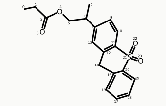 CCC(=O)OCC(C)c1ccc2c(c1)Cc1ccccc1S2(=O)=O